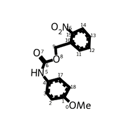 COc1ccc(NC(=O)OCc2ccccc2[N+](=O)[O-])cc1